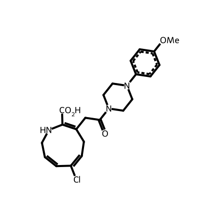 COc1ccc(N2CCN(C(=O)C/C3=C(\C(=O)O)NC/C=C\C(Cl)=C/C3)CC2)cc1